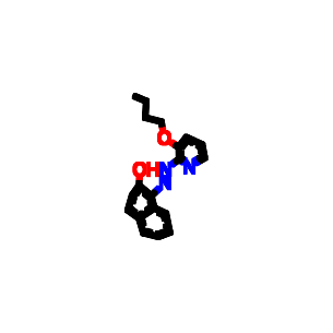 CCCCOc1cccnc1/N=N/c1c(O)ccc2ccccc12